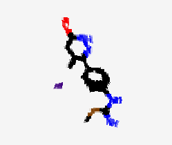 CSC(=N)Nc1ccc(C2=NNC(=O)CC2C)cc1.I